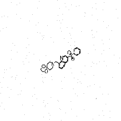 O=S(=O)(c1ccccc1)c1cnc2c(CN3CCC4(CC3)OCCO4)cccc2c1